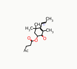 C/C=C/C1=C(C)C(=O)C(OC(=O)CCC(C)=O)CC1(C)C